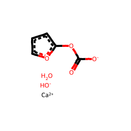 O.O=C([O-])Oc1ccco1.[Ca+2].[OH-]